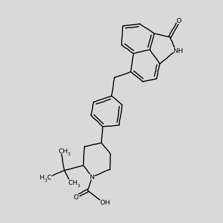 CC(C)(C)C1CC(c2ccc(Cc3ccc4c5c(cccc35)C(=O)N4)cc2)CCN1C(=O)O